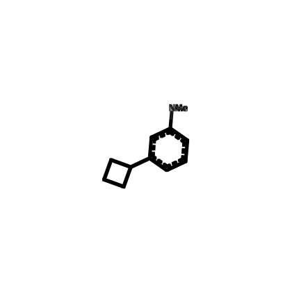 CNc1cccc(C2CCC2)c1